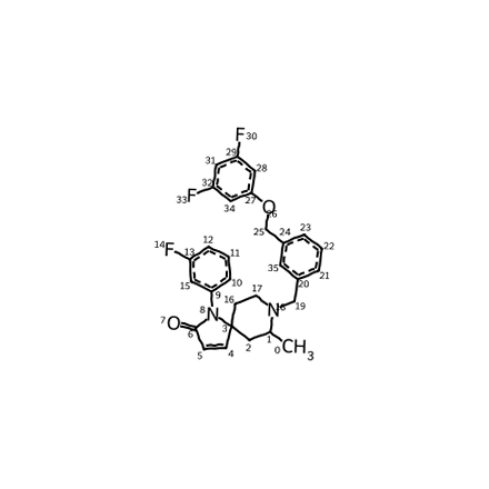 CC1CC2(C=CC(=O)N2c2cccc(F)c2)CCN1Cc1cccc(COc2cc(F)cc(F)c2)c1